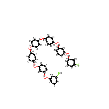 Fc1cccc(Oc2cccc(Oc3ccc(Oc4ccc(Oc5ccc(Oc6cccc(Oc7cccc(F)c7)c6)cc5)cc4)cc3)c2)c1